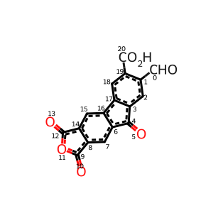 O=Cc1cc2c(=O)c3cc4c(=O)oc(=O)c4cc3c2cc1C(=O)O